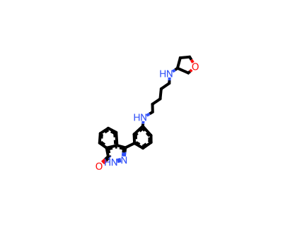 O=c1[nH]nc(-c2cccc(NCCCCCNC3CCOC3)c2)c2ccccc12